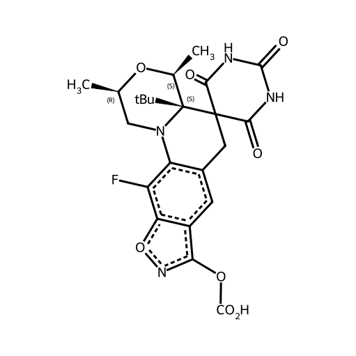 C[C@@H]1CN2c3c(cc4c(OC(=O)O)noc4c3F)CC3(C(=O)NC(=O)NC3=O)[C@@]2(C(C)(C)C)[C@H](C)O1